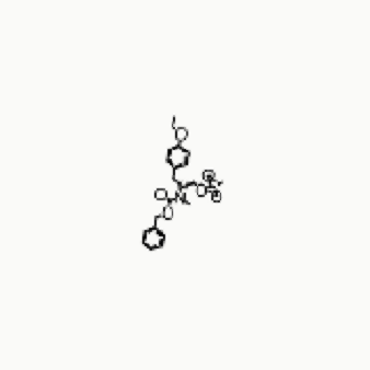 CCOc1ccc(C[C@@H](COS(C)(=O)=O)N(C)C(=O)OCc2ccccc2)cc1